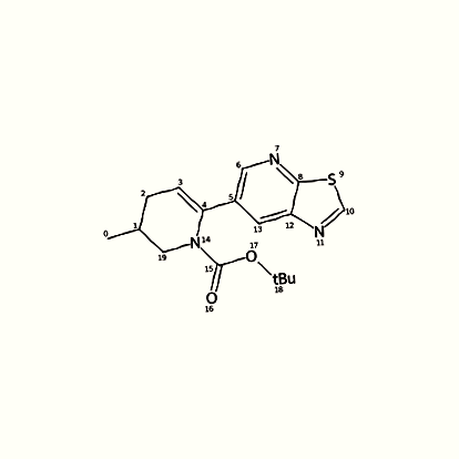 CC1CC=C(c2cnc3scnc3c2)N(C(=O)OC(C)(C)C)C1